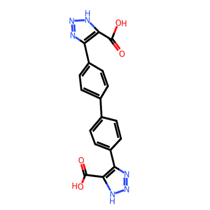 O=C(O)c1[nH]nnc1-c1ccc(-c2ccc(-c3nn[nH]c3C(=O)O)cc2)cc1